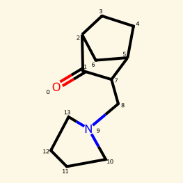 O=C1C2CCC(C2)C1CN1CCCC1